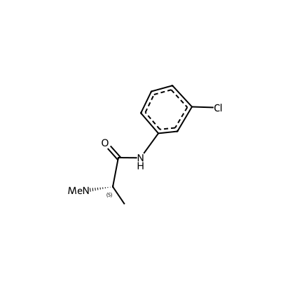 CN[C@@H](C)C(=O)Nc1cccc(Cl)c1